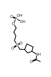 CC(=O)NC1CCC(CS(=O)(=O)CCCCOP(=O)(O)O)C1